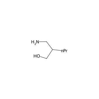 CCCC(CN)CO